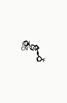 N#Cc1nccnc1N1C=Cn2c(C#CC3C=CCC(F)C3)ccc2C1